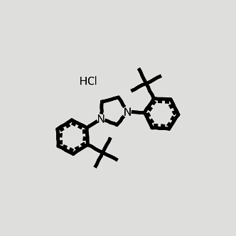 CC(C)(C)c1ccccc1N1CCN(c2ccccc2C(C)(C)C)C1.Cl